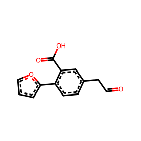 O=CCc1ccc(-c2ccco2)c(C(=O)O)c1